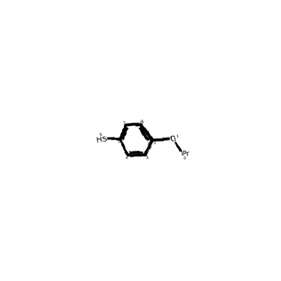 CC(C)Oc1ccc(S)cc1